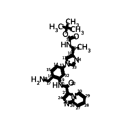 C[C@@H](NC(=O)OC(C)(C)C)c1cn(-c2ccc(CN)c(NC(=O)c3cnc4ccccn34)c2)cn1